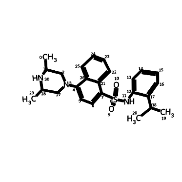 CC1CN(c2ccc(S(=O)(=O)Nc3ccccc3C(C)C)c3ccccc23)CC(C)N1